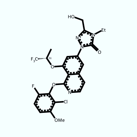 CCn1c(CO)nn(-c2cc(O[C@@H](C)C(F)(F)F)c3c(Oc4c(F)ccc(OC)c4Cl)nccc3c2)c1=O